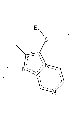 CCSc1c(C)nc2cnccn12